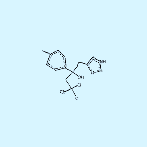 Cc1ccc(C(O)(Cc2c[nH]nn2)CC(Cl)(Cl)Cl)cc1